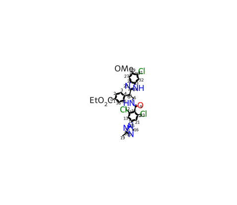 CCOC(=O)c1ccc([C@H](CNC(=O)c2c(Cl)cc(-n3cnc(C)n3)cc2Cl)c2nc3cc(OC)c(Cl)cc3[nH]2)cc1